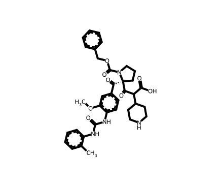 COc1cc(C(=O)[C@@]2(C(=O)C(C(=O)O)C3CCNCC3)CCCN2C(=O)OCc2ccccc2)ccc1NC(=O)Nc1ccccc1C